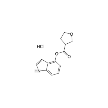 Cl.O=C(Oc1cccc2[nH]ccc12)C1CCOC1